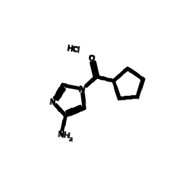 Cl.Nc1cn(C(=O)C2CCCC2)cn1